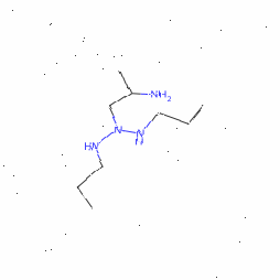 CCCNN(CC(C)N)NCCC